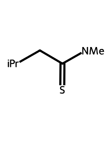 CNC(=S)CC(C)C